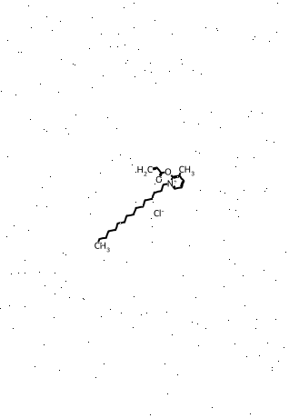 C=CC(=O)Oc1c(C)ccc[n+]1CCCCCCCCCCCCCCCC.[Cl-]